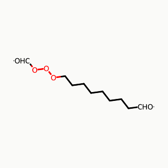 O=[C]CCCCCCCCOOO[C]=O